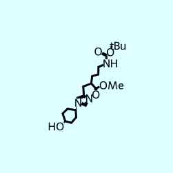 COC(=O)C(CCCNC(=O)OC(C)(C)C)Cc1cn([C@H]2CC[C@H](O)CC2)cn1